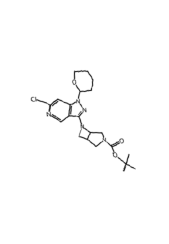 CC(C)(C)OC(=O)N1CC2CN(c3nn(C4CCCCO4)c4cc(Cl)ncc34)C2C1